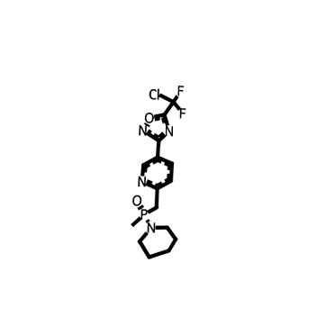 CP(=O)(Cc1ccc(-c2noc(C(F)(F)Cl)n2)cn1)N1CCCCC1